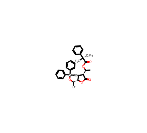 CCC(O[Si](c1ccccc1)(c1ccccc1)C(C)(C)C)[C@@H]1C[C@@H](C(C)OC(=O)[C@](OC)(c2ccccc2)C(F)(F)F)C(=O)O1